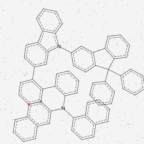 c1ccc(C2(c3ccccc3)c3ccccc3-c3cc(-n4c5ccccc5c5ccc(-c6ccccc6-c6ccccc6N(c6ccc7ccccc7c6)c6cccc7ccccc67)cc54)ccc32)cc1